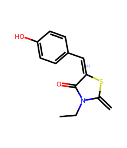 C=c1s/c(=C/c2ccc(O)cc2)c(=O)n1CC